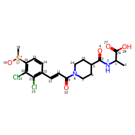 CC(NC(=O)C1CCN(C(=O)C=Cc2ccc([S+](C)[O-])c(Cl)c2Cl)CC1)C(=O)O